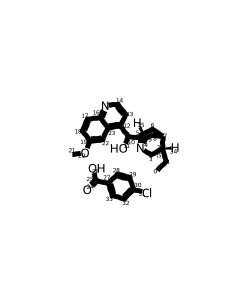 CC[C@@H]1CN2CCC1C[C@H]2C(O)c1ccnc2ccc(OC)cc12.O=C(O)c1ccc(Cl)cc1